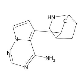 Nc1ncnn2ccc(C3CC4CCC3CN4)c12